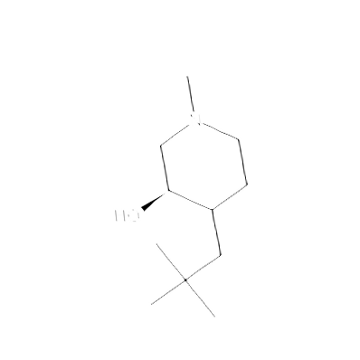 CN1CCC(CC(C)(C)C)[C@@H](O)C1